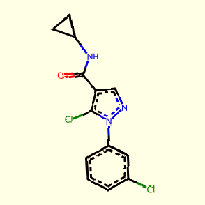 O=C(NC1CC1)c1cnn(-c2cccc(Cl)c2)c1Cl